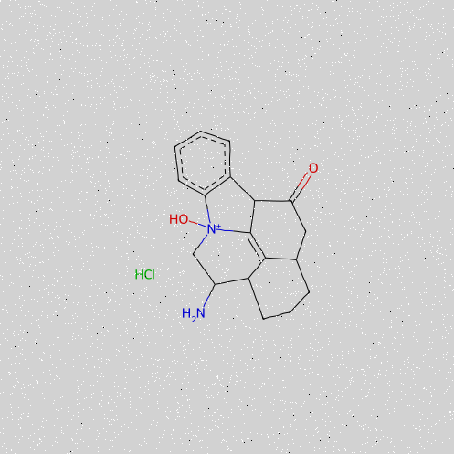 Cl.NC1C[N+]2(O)C3=C4C(CCCC41)CC(=O)C3c1ccccc12